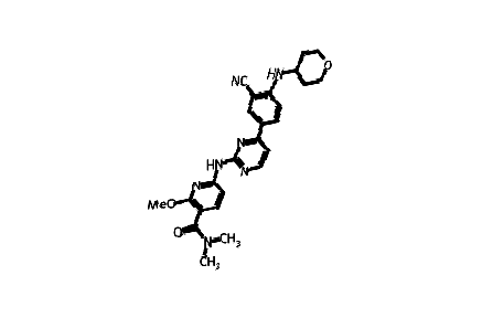 COc1nc(Nc2nccc(-c3ccc(NC4CCOCC4)c(C#N)c3)n2)ccc1C(=O)N(C)C